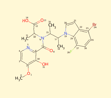 COc1ccnc(C(=O)N(C(C)C(=O)O)C(C)C(C)n2ccc3c(Br)ccc(F)c32)c1O